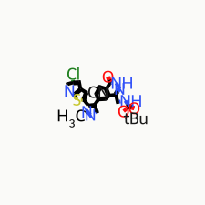 Cn1ncc(-c2ccc3c(=O)[nH]nc(CNC(=O)OC(C)(C)C)c3c2)c1-c1sc2ncc(Cl)cc2c1C#N